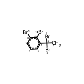 CC(Br)(Br)c1cc[c]c(Br)c1Br